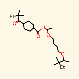 CCC(C)(C)C(=O)C1CCC(C(=O)OC(C)OCCCCOC(C)C(C)(C)CC)CC1